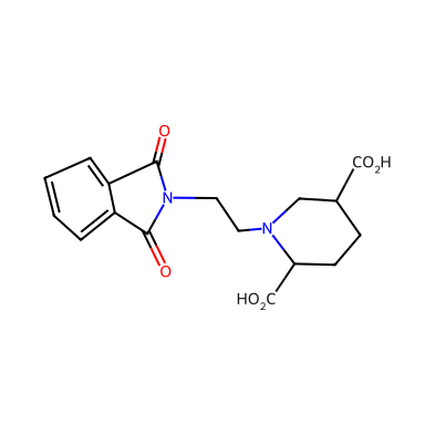 O=C(O)C1CCC(C(=O)O)N(CCN2C(=O)c3ccccc3C2=O)C1